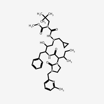 CCC(C)C(C(=O)NC(Cc1ccccc1)C(O)CN(CC1CC1)NC(=O)N(CC(C)(C)C)C(=O)OC)N1CCN(Cc2cccc(C)n2)C1=O